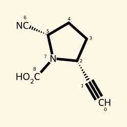 C#C[C@H]1CC[C@@H](C#N)N1C(=O)O